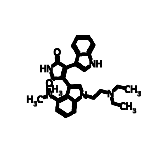 CCN(CC)CCn1cc(C2=C(c3c[nH]c4ccccc34)C(=O)NC2=O)c2c(N(C)C)cccc21